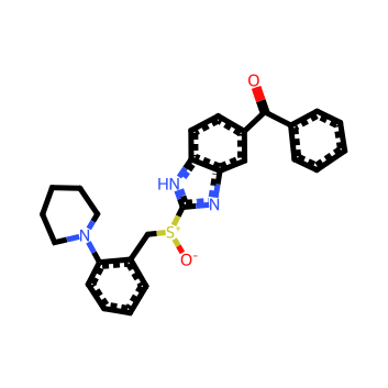 O=C(c1ccccc1)c1ccc2[nH]c([S+]([O-])Cc3ccccc3N3CCCCC3)nc2c1